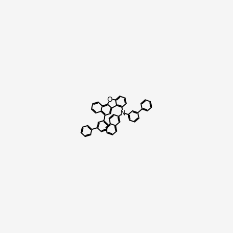 c1ccc(-c2cccc(-c3cc4c(oc5cccc(N(c6cccc(-c7ccccc7)c6)c6ccc7ccccc7c6)c54)c4ccccc34)c2)cc1